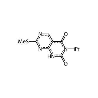 CSc1ncc2c(=O)n(C(C)C)c(=O)[nH]c2n1